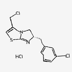 Cl.ClCC1=CSC2=N[C@@H](Cc3cccc(Cl)c3)CN12